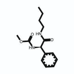 CCCCNC(=O)[C@H](NC(=O)OC)c1ccccc1